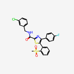 CS(=O)(=O)c1ccccc1-c1sc(C(=O)NCc2cccc(Cl)c2)nc1-c1ccc(F)cc1